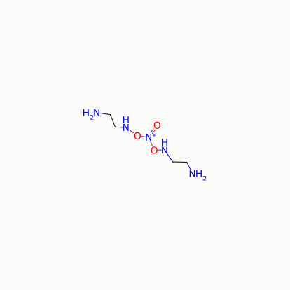 NCCNO[N+](=O)ONCCN